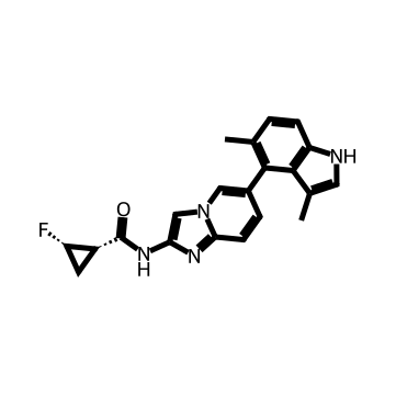 Cc1ccc2[nH]cc(C)c2c1-c1ccc2nc(NC(=O)[C@@H]3C[C@@H]3F)cn2c1